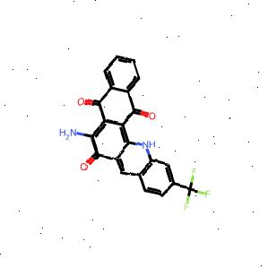 Nc1c2c(c3[nH]c4cc(C(F)(F)F)ccc4cc-3c1=O)C(=O)c1ccccc1C2=O